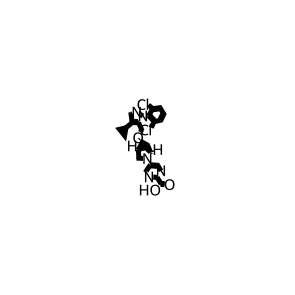 O=C(O)c1ncc(N2C[C@@H]3C[C@H]2C[C@H]3OCc2c(C3CC3)cnn2-c2c(Cl)cccc2Cl)cn1